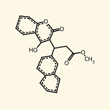 COC(=O)CC(c1ccc2ccccc2c1)c1c(O)c2ccccc2oc1=O